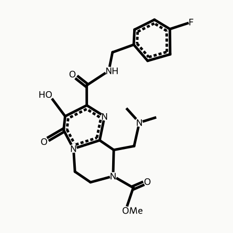 COC(=O)N1CCn2c(nc(C(=O)NCc3ccc(F)cc3)c(O)c2=O)C1CN(C)C